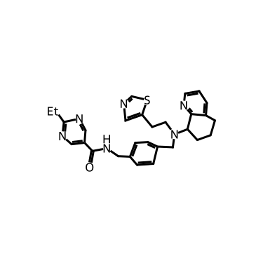 CCc1ncc(C(=O)NCc2ccc(CN(CCc3cncs3)C3CCCc4cccnc43)cc2)cn1